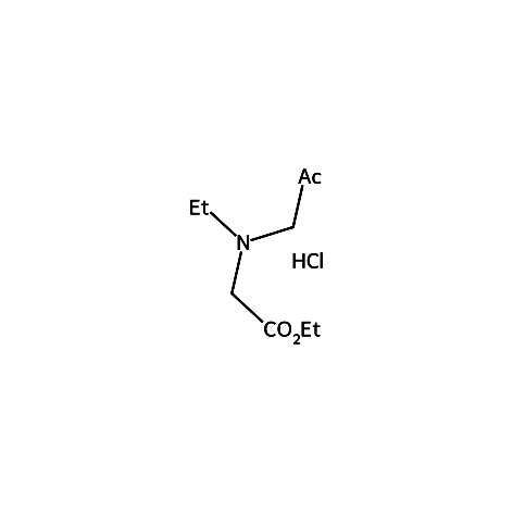 CCOC(=O)CN(CC)CC(C)=O.Cl